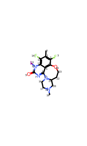 Cc1c(F)c2c3c(nc(=O)n(I)c3c1F)N1CCN(C)CC1CCO2